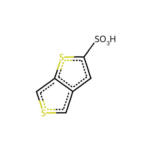 O=S(=O)(O)c1cc2cscc2s1